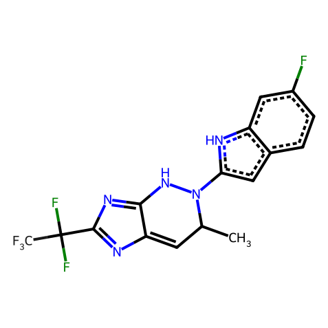 CC1C=C2N=C(C(F)(F)C(F)(F)F)N=C2NN1c1cc2ccc(F)cc2[nH]1